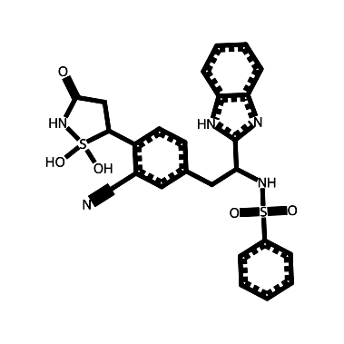 N#Cc1cc(CC(NS(=O)(=O)c2ccccc2)c2nc3ccccc3[nH]2)ccc1C1CC(=O)NS1(O)O